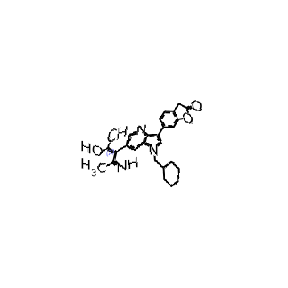 CC(=N)/C(=C(/C)O)c1cnc2c(-c3ccc4c(c3)OC(=O)C4)cn(CC3CCCCC3)c2c1